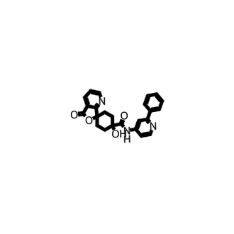 O=C1OC2(CCC(O)(C(=O)Nc3ccnc(-c4ccccc4)c3)CC2)c2ncccc21